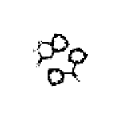 O=C(c1ccccc1)c1ccccc1.O=C1Cc2ccccc2ON1